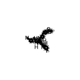 COC(=O)[C@@H](Cc1ccc(C#N)cc1)Nc1nc(NCc2nc3cc(F)ccc3[nH]2)nc(Nc2cccc(CN3CCN(C(=O)OC(C)(C)C)CC3)c2)n1